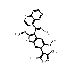 C=Nc1[nH]c2cc(-c3c(C)noc3C)c(OC)cc2c1/C(=N\C)c1ccnc2ccncc12